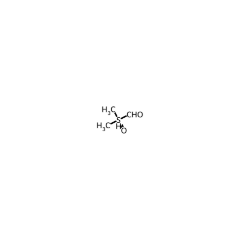 C[SH](C)(=O)C=O